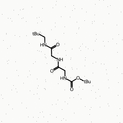 CC(C)(C)CNC(=O)CNC(=O)CNC(=O)OC(C)(C)C